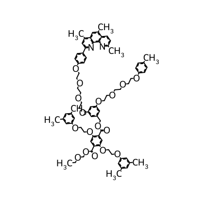 CCOCOC(=O)c1cc(OCCOc2cc(C)cc(C)c2)c(C(=O)OCc2cc(OCCOCCOCCOc3ccc(C)cc3)cc(OCCOCCOCCOc3ccc(-c4cc(C)c5cc(C)c6ccc(C)nc6c5n4)cc3)c2)cc1OCCOc1cc(C)cc(C)c1